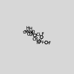 CC(C)(c1ccc(F)cc1)c1cnc(SCc2ccc(S(=O)(=O)NC(=O)NN3CCCC3)cc2Cl)n1-c1ccc(F)c(Cl)c1